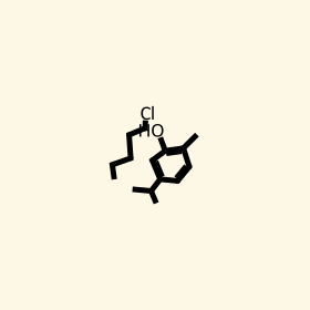 CCCCCCl.Cc1ccc(C(C)C)cc1O